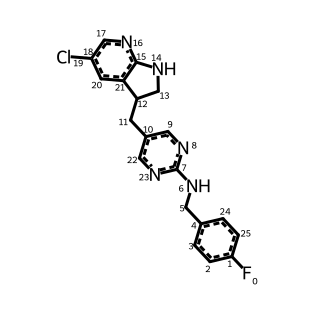 Fc1ccc(CNc2ncc(CC3CNc4ncc(Cl)cc43)cn2)cc1